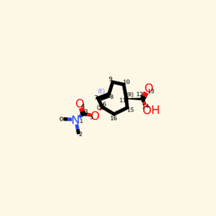 CN(C)C(=O)O[C@@H]1/C=C/CC[C@@H](C(=O)O)CC1